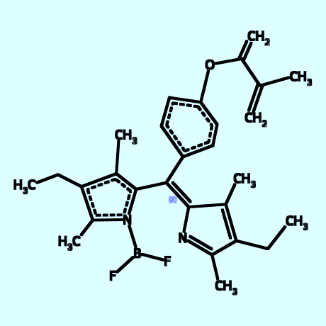 C=C(C)C(=C)Oc1ccc(/C(=C2/N=C(C)C(CC)=C2C)c2c(C)c(CC)c(C)n2B(F)F)cc1